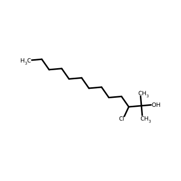 CCCCCCCCCCC(Cl)C(C)(C)O